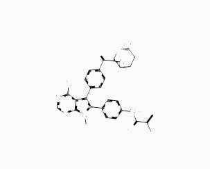 C=C(C)C(=O)Nc1ccc(-c2c(-c3ccc(C(=O)N4C[C@H]5CC[C@@H]4CO5)cc3)c3c(N)ncnc3n2C)cc1